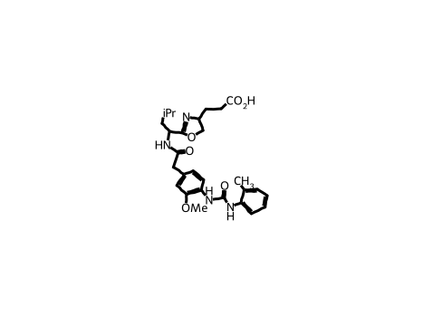 COc1cc(CC(=O)NC(CC(C)C)C2=NC(CCC(=O)O)CO2)ccc1NC(=O)Nc1ccccc1C